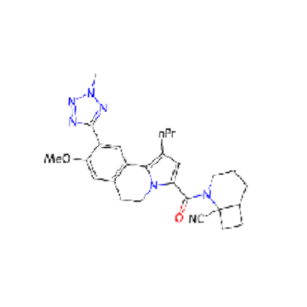 CCCc1cc(C(=O)N2CCCC3CCC32C#N)n2c1-c1cc(-c3nnn(C)n3)c(OC)cc1CC2